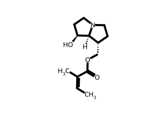 C/C=C(/C)C(=O)OC[C@H]1CCN2CC[C@H](O)[C@H]12